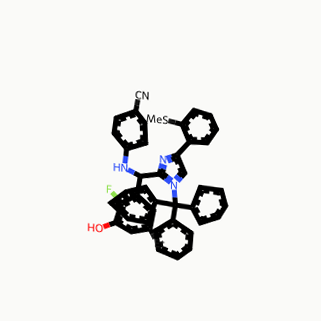 CCc1cc(O)c(F)c(C(Nc2ccc(C#N)cc2)c2nc(-c3ccccc3SC)cn2C(c2ccccc2)(c2ccccc2)c2ccccc2)c1